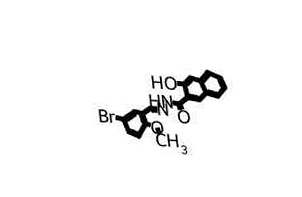 COc1ccc(Br)cc1/C=N/NC(=O)c1cc2ccccc2cc1O